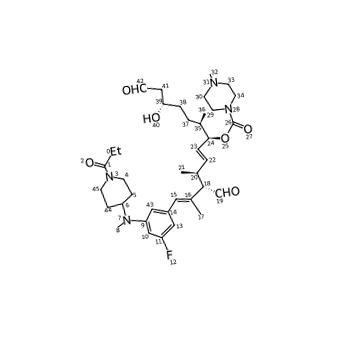 CCC(=O)N1CCC(N(C)c2cc(F)cc(/C=C(\C)[C@@H](C=O)[C@@H](C)/C=C/[C@H](OC(=O)N3CCN(C)CC3)[C@H](C)CC[C@H](O)CC=O)c2)CC1